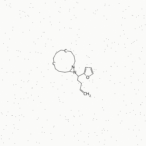 C=CCCC(c1ccco1)N1C2CCCCCCCCCCCN21